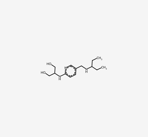 CCC(CC)NCc1ccc(NC(CO)CO)nc1